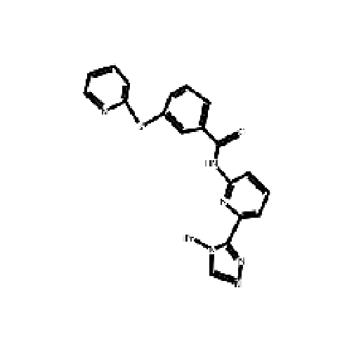 CC(C)n1cnnc1-c1cccc(NC(=O)c2cccc(Sc3ccccn3)c2)n1